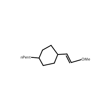 CCCCCC1CCC(/C=C/OC)CC1